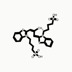 CC(=Cc1sc2ccccc2[n+]1CCCCS(=O)(=O)O)C=C1Sc2ccccc2N1CCCCS(=O)(=O)O